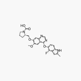 COc1cc2c(Oc3ccc4[nH]c(C)cc4c3F)ncnc2cc1OC[C@H]1CCCN1C(=O)O